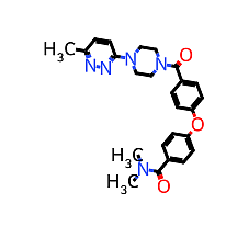 Cc1ccc(N2CCN(C(=O)c3ccc(Oc4ccc(C(=O)N(C)C)cc4)cc3)CC2)nn1